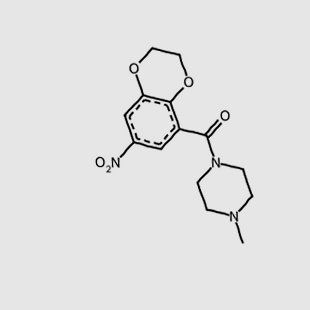 CN1CCN(C(=O)c2cc([N+](=O)[O-])cc3c2OCCO3)CC1